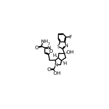 NC(=O)c1cc(CC2[C@H]3C[C@@](O)(c4nc5c(F)cccc5s4)C[C@H]3CN2C(=O)O)on1